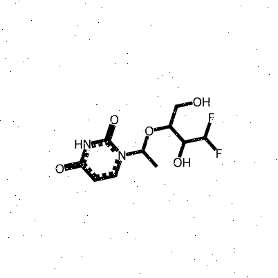 CC(OC(CO)C(O)C(F)F)n1ccc(=O)[nH]c1=O